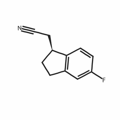 N#CC[C@@H]1CCc2cc(F)ccc21